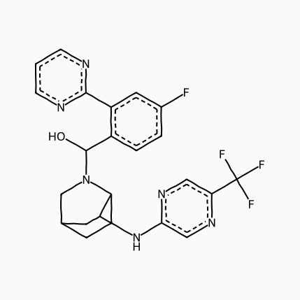 OC(c1ccc(F)cc1-c1ncccn1)N1CC2CCC1C(Nc1cnc(C(F)(F)F)cn1)C2